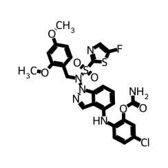 COc1ccc(CN(n2ncc3c(Nc4ccc(Cl)cc4OC(N)=O)cccc32)S(=O)(=O)c2ncc(F)s2)c(OC)c1